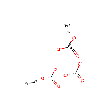 O=[Si]([O-])[O-].O=[Si]([O-])[O-].O=[Si]([O-])[O-].[Pr+3].[Pr+3].[Zr].[Zr]